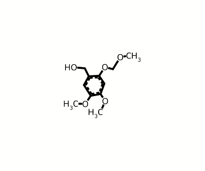 COCOc1cc(OC)c(OC)cc1CO